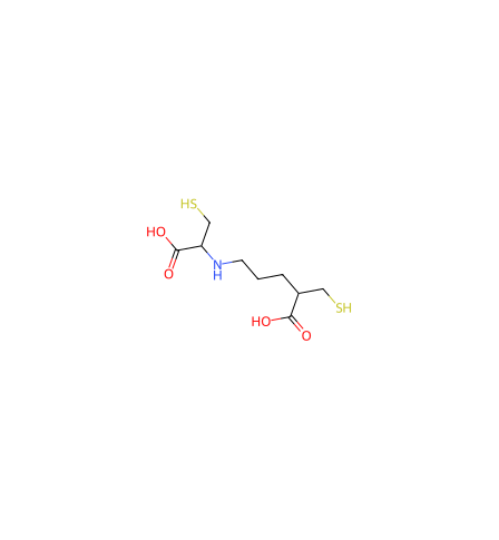 O=C(O)C(CS)CCCNC(CS)C(=O)O